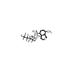 Cc1ccc(S(C)(C)OS(=O)(=O)C(F)(F)C(F)(F)C(F)(F)C(F)(F)F)c2ccccc12